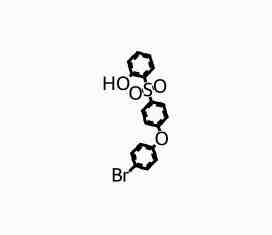 O=S(=O)(c1ccc(Oc2ccc(Br)cc2)cc1)c1ccccc1O